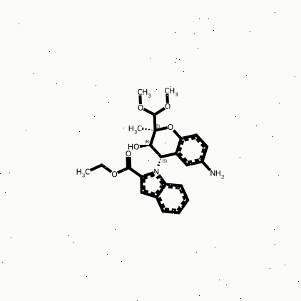 CCOC(=O)c1cc2ccccc2n1[C@H]1c2cc(N)ccc2O[C@](C)(C(OC)OC)[C@@H]1O